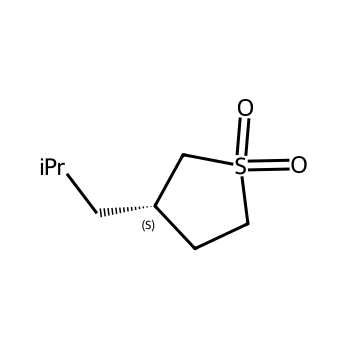 CC(C)C[C@H]1CCS(=O)(=O)C1